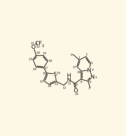 Cc1ccn2nc(C)c(C(=O)NCc3ccc(-c4ccc(OC(F)(F)F)cc4)s3)c2c1